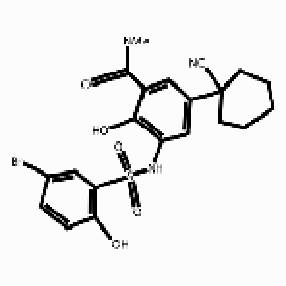 CNC(=O)c1cc(C2(C#N)CCCCC2)cc(NS(=O)(=O)c2cc(Br)ccc2O)c1O